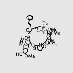 CO[C@H]1C[C@@H](C)C/C(C)=C/[C@@H](C/C=C/c2ccccn2)C(=O)C[C@H](O)[C@@H](C)[C@@H](/C(C)=C/[C@@H]2CC[C@@H](O)[C@H](OC)C2)OC(=O)[C@@H]2CCCCN2C(=O)C(=O)[C@]2(O)O[C@H]1[C@@H](OC)C[C@H]2C